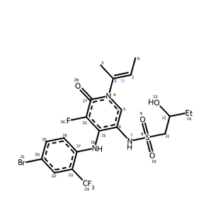 C/C=C(\C)n1cc(NS(=O)(=O)CC(O)CC)c(Nc2ccc(Br)cc2C(F)(F)F)c(F)c1=O